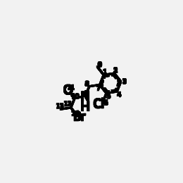 Cc1cccc(Cl)c1CNC(=O)C(C)Br